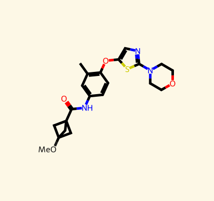 COC12CC(C(=O)Nc3ccc(Oc4cnc(N5CCOCC5)s4)c(C)c3)(C1)C2